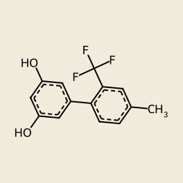 Cc1ccc(-c2cc(O)cc(O)c2)c(C(F)(F)F)c1